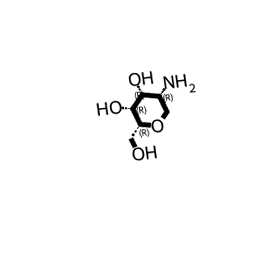 N[C@@H]1CO[C@H](CO)[C@H](O)[C@@H]1O